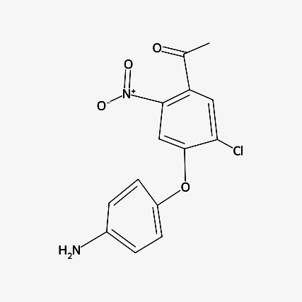 CC(=O)c1cc(Cl)c(Oc2ccc(N)cc2)cc1[N+](=O)[O-]